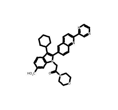 O=C(O)c1ccc2c(C3CCCCC3)c(-c3ccc4nc(-c5cnccn5)ccc4c3)n(CC(=O)N3CCOCC3)c2c1